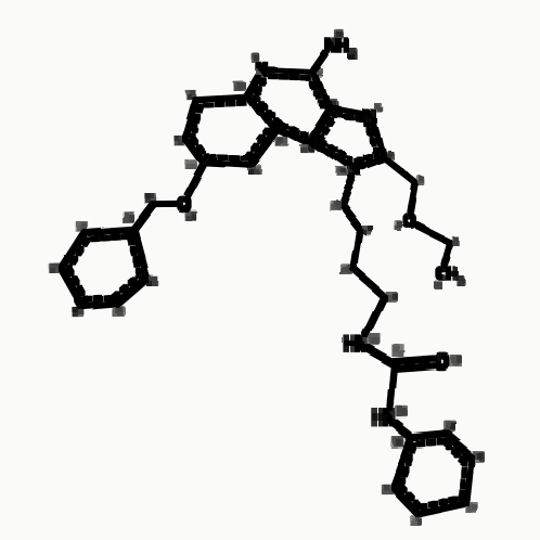 CCOCc1nc2c(N)nc3ccc(OCc4ccccc4)cc3c2n1CCCCNC(=O)Nc1ccccc1